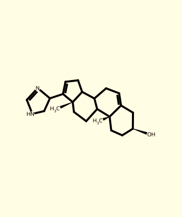 C[C@]12CC[C@H](O)CC1=CCC1C2CC[C@]2(C)C(C3CNC=N3)=CCC12